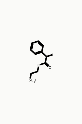 O=C(OCCS(=O)(=O)O)C(I)c1ccccc1